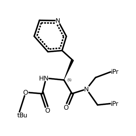 CC(C)CN(CC(C)C)C(=O)[C@H](Cc1cccnc1)NC(=O)OC(C)(C)C